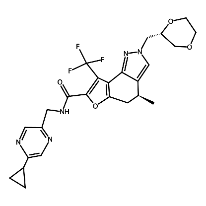 C[C@H]1Cc2oc(C(=O)NCc3cnc(C4CC4)cn3)c(C(F)(F)F)c2-c2nn(C[C@H]3COCCO3)cc21